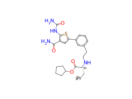 CC(C)C[C@@H](NCCc1cccc(-c2cc(C(N)=O)c(NC(N)=O)s2)c1)C(=O)OC1CCCC1